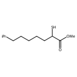 COC(=O)C(S)CCCCCC(C)C